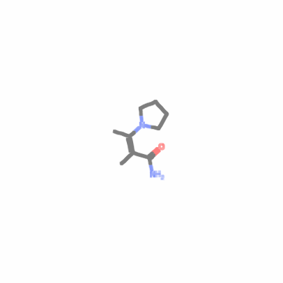 CC(C(N)=O)=C(C)N1CCCC1